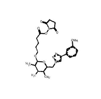 COc1cccc(-c2cn(CC3OC(OCCCCC(=O)ON4C(=O)CCC4=O)C(C)C(C)C3OC(C)=O)nn2)c1